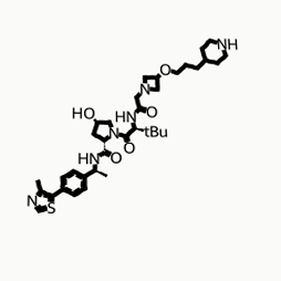 Cc1ncsc1-c1ccc([C@H](C)NC(=O)[C@@H]2C[C@@H](O)CN2C(=O)[C@@H](NC(=O)CN2CC(OCCCC3CCNCC3)C2)C(C)(C)C)cc1